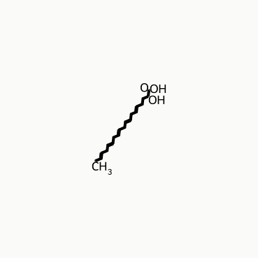 CCC=CCC=CCC=CCC=CCC=CCCC(O)C(=O)O